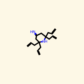 C=CCC1(CC=C)CC(=N)CC(CC=C)(CC=C)N1